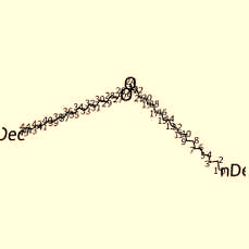 CCCCCCCCCCCCCCCCCCCCCCCCCCCCCCCCC(=O)OCCCCCCCCCCCCCCCCCCCCCCCCCCCCC